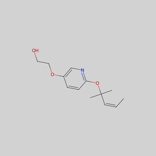 C/C=C\C(C)(C)Oc1ccc(OCCO)cn1